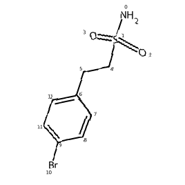 NS(=O)(=O)CCc1ccc(Br)cc1